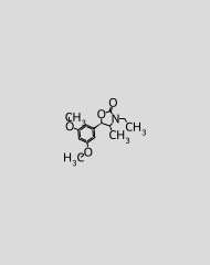 CCN1C(=O)O[C@H](c2cc(OC)cc(OC)c2)[C@@H]1C